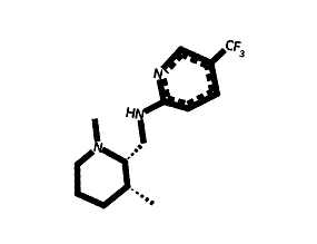 C[C@@H]1CCCN(C)[C@@H]1CNc1ccc(C(F)(F)F)cn1